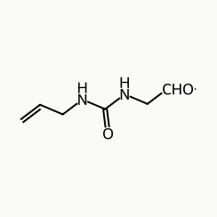 C=CCNC(=O)NC[C]=O